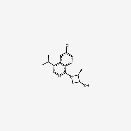 CC(C)c1cnc(N2C[C@H](O)[C@@H]2C)c2cnc(Cl)cc12